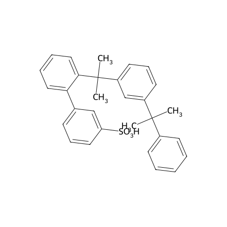 CC(C)(c1ccccc1)c1cccc(C(C)(C)c2ccccc2-c2cccc(S(=O)(=O)O)c2)c1